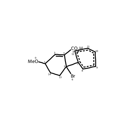 COC1C=C(C(=O)O)C(Br)(c2ccccc2)CC1